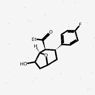 CCC(=O)[C@H]1[C@H](c2ccc(F)cc2)CC2CC(O)[C@@H]1O2